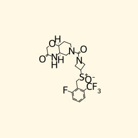 O=C1CO[C@H]2CCN(C(=O)N3CC([S+]([O-])Cc4c(F)cccc4C(F)(F)F)C3)C[C@H]2N1